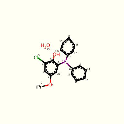 CC(C)Oc1cc(Cl)c(O)c(P(c2ccccc2)c2ccccc2)c1.O